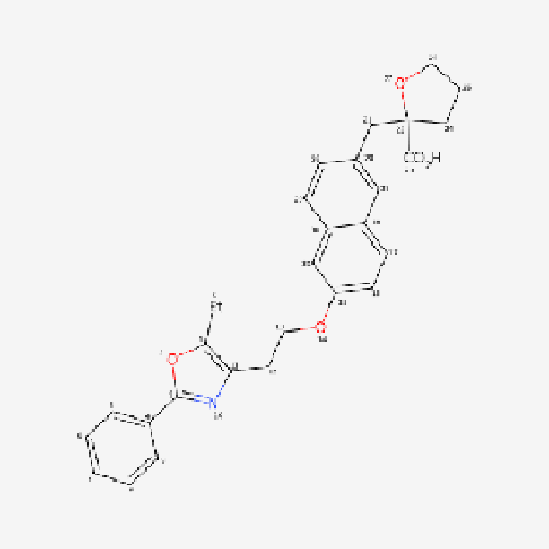 CCc1oc(-c2ccccc2)nc1CCOc1ccc2cc(CC3(C(=O)O)CCCO3)ccc2c1